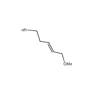 CCCCCC=CCOC